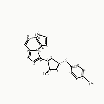 CC[C@@H]1C[C@@H](Oc2ccc(C#N)cc2)C[C@@H]1c1ncc2cnc3[nH]ccc3n12